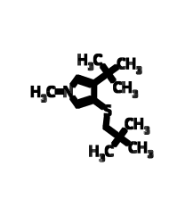 Cn1cc(SCC(C)(C)C)c(C(C)(C)C)c1